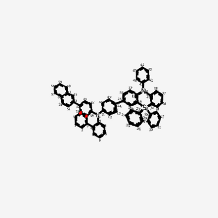 c1ccc(-c2ccccc2N(c2ccc(-c3ccc4c(c3)[Si](c3ccccc3)(c3ccccc3)c3ccccc3N4c3ccccc3)cc2)c2ccc(-c3ccc4ccccc4c3)cc2)cc1